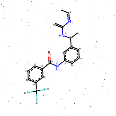 C=C(/N=C\C)NC(C)c1cccc(NC(=O)c2cccc(C(F)(F)F)c2)c1